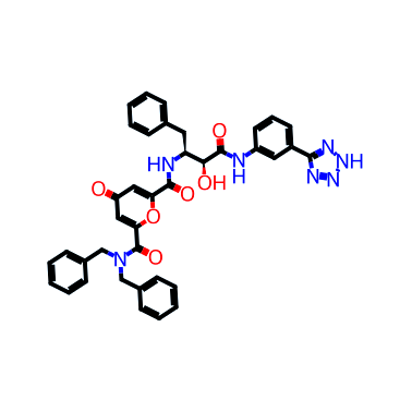 O=C(N[C@@H](Cc1ccccc1)[C@H](O)C(=O)Nc1cccc(-c2nn[nH]n2)c1)c1cc(=O)cc(C(=O)N(Cc2ccccc2)Cc2ccccc2)o1